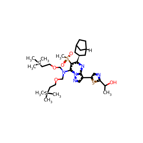 CC(O)c1ncc(-c2cnn3c(N(COCC[Si](C)(C)C)COCC[Si](C)(C)C)c(S(C)(=O)=O)c([C@H]4CC5CC[C@@H](C5)C4)nc23)s1